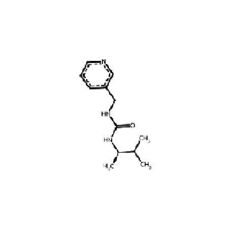 CC(C)[C@@H](C)NC(=O)NCc1cccnc1